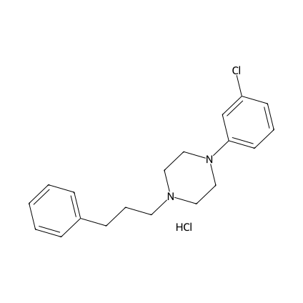 Cl.Clc1cccc(N2CCN(CCCc3ccccc3)CC2)c1